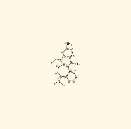 CCOc1cc(N)ccc1C(=O)N1CCCC(N(C)C)c2ccccc21